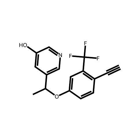 C#Cc1ccc(OC(C)c2cncc(O)c2)cc1C(F)(F)F